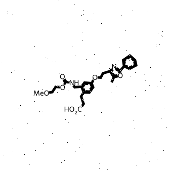 COCCOC(=O)NCc1cc(OCCc2nc(-c3ccccc3)oc2C)ccc1CCC(=O)O